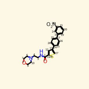 O=C(NCCN1CCOCC1)c1cc(-c2ccc(-c3cccc([N+](=O)[O-])c3)cc2)cs1